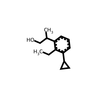 CCc1c([C](C)CO)cccc1C1CC1